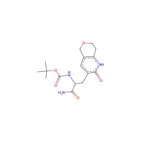 CC(C)(C)OC(=O)NC(Cc1cc2c([nH]c1=O)CCOC2)C(N)=O